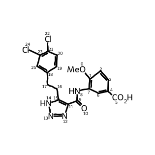 COc1ccc(C(=O)O)cc1NC(=O)c1nn[nH]c1CCc1ccc(Cl)c(Cl)c1